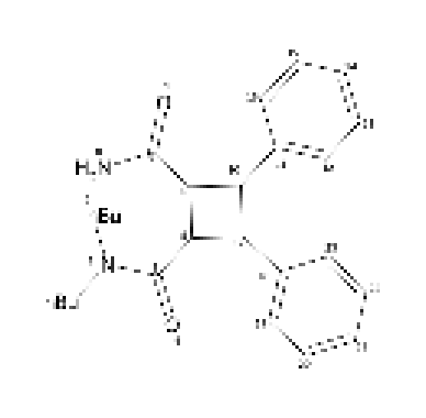 CCCCN(CCCC)C(=O)C1C(C(N)=O)C(c2ccccc2)C1c1ccccc1